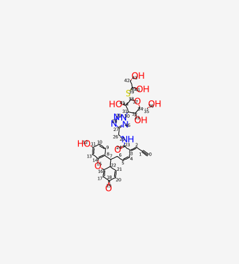 C#C/C=C(\C=C/CC1c2ccc(O)cc2OC2=CC(=O)C=CC21)C(=O)NCc1nnn(C2C(O)[C@@H](CO)O[C@@H](S[C@H](O)CO)C2O)n1